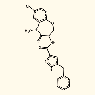 CN1C(=O)C(NC(=O)c2cc(Cc3ccccc3)[nH]n2)COc2ccc(Cl)cc21